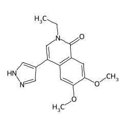 CCn1cc(-c2cn[nH]c2)c2cc(OC)c(OC)cc2c1=O